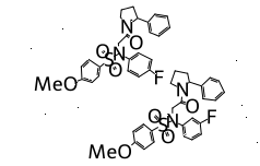 COc1ccc(S(=O)(=O)N(CC(=O)N2CCCC2c2ccccc2)c2ccc(F)cc2)cc1.COc1ccc(S(=O)(=O)N(CC(=O)N2CCCC2c2ccccc2)c2cccc(F)c2)cc1